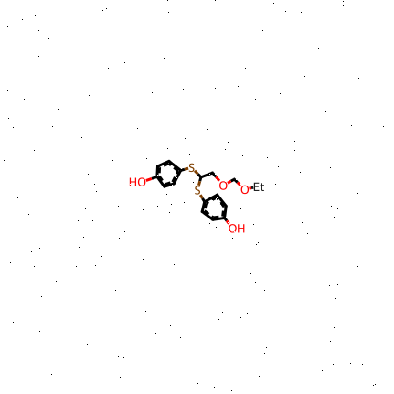 CCOCOCC(Sc1ccc(O)cc1)Sc1ccc(O)cc1